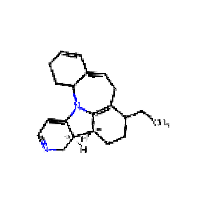 CCC1CC[C@H]2C3=C1CC=C1C=CCCC1N3C1=CC=NC[C@@H]12